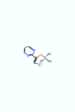 CC(C)[Si](OC(=CCl)c1ncccn1)(C(C)C)C(C)C